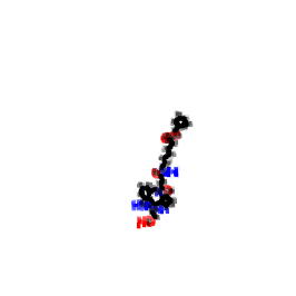 N=N/C1=C(\NCCO)c2ccccc2N(C(=O)CCC(=O)NCCCCCCC(=O)OCc2ccccc2)Cc2ccccc21